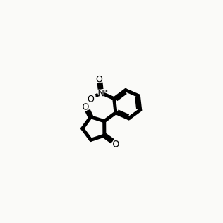 O=C1CCC(=O)C1c1ccccc1[N+](=O)[O-]